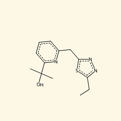 CCc1nnc(Cc2cccc(C(C)(C)O)n2)s1